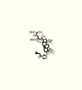 COC(CN[C@@H](C)C=O)C[C@@H](C)[C@H]1C[C@H](O)[C@@]2(C)C3CC[C@H]4C(C)(C)C(O[C@H]5CN(C(=O)CC6CC6)CCO5)CCC45CC35CCC12C